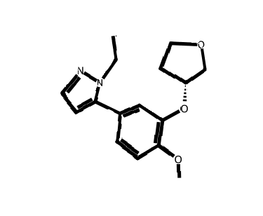 [CH2]Cn1nccc1-c1ccc(OC)c(O[C@@H]2CCOC2)c1